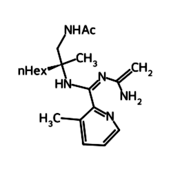 C=C(N)/N=C(/N[C@](C)(CCCCCC)CNC(C)=O)c1ncccc1C